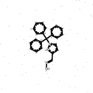 ON=Cc1ccn(C(c2ccccc2)(c2ccccc2)c2ccccc2)n1